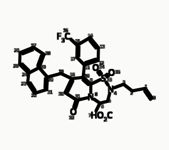 C=CCCN1CC(C(=O)O)n2c(c(-c3cccc(C(F)(F)F)c3)c(Cc3cccc4ccccc34)cc2=O)S1(=O)=O